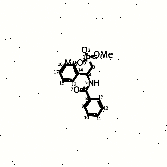 COP(=O)(CC(NC(=O)c1ccccc1)c1ccccc1)OC